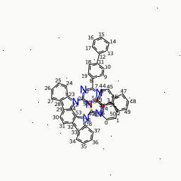 C1=CCCC(c2nc(-c3ccc(-c4ccccc4)cc3)nc(-n3c4ccccc4c4ccc5c6ccccc6n(-c6nc7c(ccc8ccccc87)s6)c5c43)n2)=C1